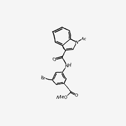 COC(=O)c1cc(Br)cc(NC(=O)c2cn(C(C)=O)c3ccccc23)c1